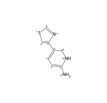 NC1=CC=C(c2cscn2)CN1